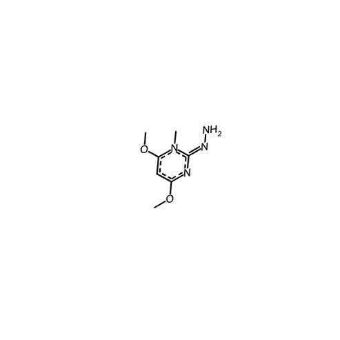 COc1cc(OC)n(C)/c(=N\N)n1